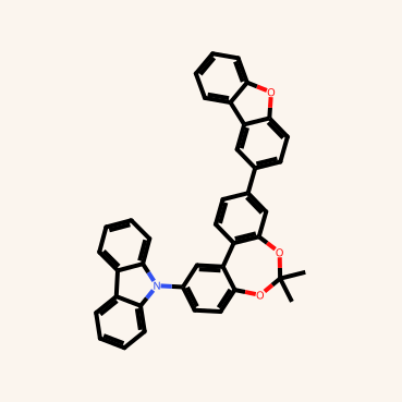 CC1(C)Oc2cc(-c3ccc4oc5ccccc5c4c3)ccc2-c2cc(-n3c4ccccc4c4ccccc43)ccc2O1